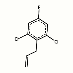 C=CCc1c(Cl)cc(F)cc1Cl